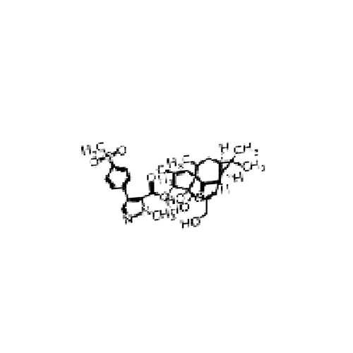 CC1=CC23C(=O)[C@@H](C=C(CO)[C@@H](O)[C@]2(O)[C@H]1OC(=O)c1c(-c2ccc(S(C)(=O)=O)cc2)cnn1C)[C@H]1[C@@H](CC3C)C1(C)C